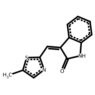 Cc1cnc(C=C2C(=O)Nc3ccccc32)s1